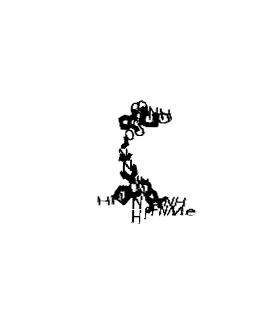 CN/C=C(\C=N)C1=CC2CCCN(C(=N)C3=C(NC4CCN(C5CN(CCCOC6=CCCC7=C6C(=O)N(C6CCC(=O)NC6=O)C7=O)C5)CC4)CCNC3)C2C=C1C(F)F